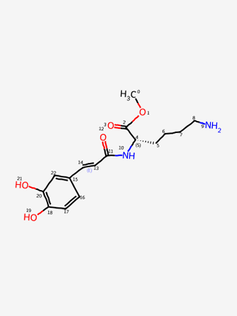 COC(=O)[C@H](CCCCN)NC(=O)/C=C/c1ccc(O)c(O)c1